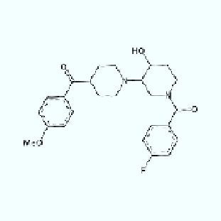 COc1ccc(C(=O)C2CCN(C3CN(C(=O)c4ccc(F)cc4)CCC3O)CC2)cc1